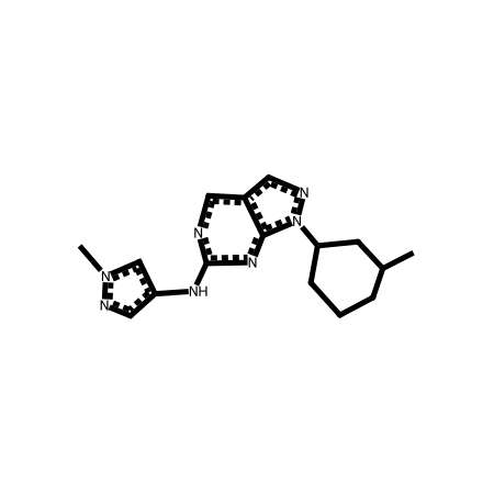 CC1CCCC(n2ncc3cnc(Nc4cnn(C)c4)nc32)C1